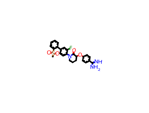 CS(=O)(=O)c1ccccc1-c1ccc(N2CCCC(Oc3ccc(C(=N)N)cc3)C2=O)c(F)c1